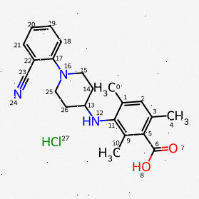 Cc1cc(C)c(C(=O)O)c(C)c1NC1CCN(c2ccccc2C#N)CC1.Cl